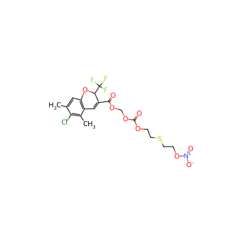 Cc1cc2c(c(C)c1Cl)C=C(C(=O)OCOC(=O)OCCSCCO[N+](=O)[O-])C(C(F)(F)F)O2